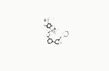 CC(C)CN(C)c1cc(NC(=O)OC(C)(C)C)c(NC(=O)CC(=O)c2cccc(-c3ccnc(COC4CCCCO4)c3)c2)cc1Cl